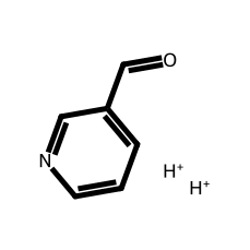 O=Cc1cccnc1.[H+].[H+]